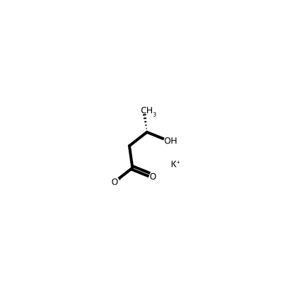 C[C@H](O)CC(=O)[O-].[K+]